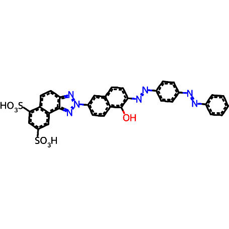 O=S(=O)(O)c1cc(S(=O)(=O)O)c2ccc3nn(-c4ccc5c(O)c(N=Nc6ccc(N=Nc7ccccc7)cc6)ccc5c4)nc3c2c1